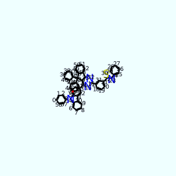 c1ccc(-n2c3ccccc3c3cc(-c4nc(-c5cccc(-c6nc7ccccc7s6)c5)nc5c4C(c4ccccc4)(c4ccccc4)c4ccccc4-5)ccc32)cc1